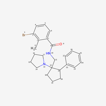 Cc1c(Br)cccc1C(=O)NCC1(N2CCCC2)CCCC1c1ccccc1